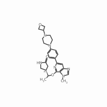 CC(Oc1nc(-c2ccc(N3CCN(C4COC4)CC3)cc2)cc2ncn(C)c12)[C@H]1CNC(=O)C1